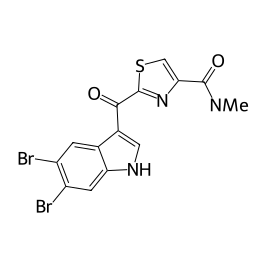 CNC(=O)c1csc(C(=O)c2c[nH]c3cc(Br)c(Br)cc23)n1